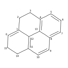 C1=C2CCc3cccc4ccc(c2c34)CC1